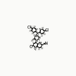 C[C@@H]1CN(c2cc(=O)n(C)c3ccc(C#N)nc23)[C@@H](C)CN1C(c1ccc(Cl)cc1)c1ccc(Cl)cc1